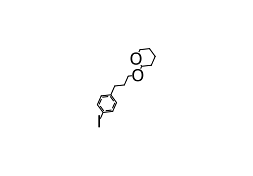 Ic1ccc(CCCOC2CCCCO2)cc1